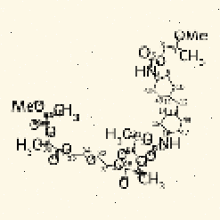 COC(C)COC(=O)NC1CCC(CC2CCC(NC(=O)OC(C)C(=O)OC(C)C(=O)OCCOCCOC(=O)C(C)OC(=O)C(C)OC)CC2)CC1